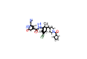 Cc1c(C=C2CCN(C(=O)C3CCCC3)CC2)cc(Cl)cc1NC(=O)c1cc(C#N)[nH]c(=O)c1